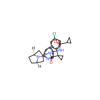 O=C(Nc1ccc(N2[C@@H]3CC[C@H]2C[C@@H](NC(=O)C2(c4ccc(Cl)cc4)CC2)C3)nc1)C1CC1